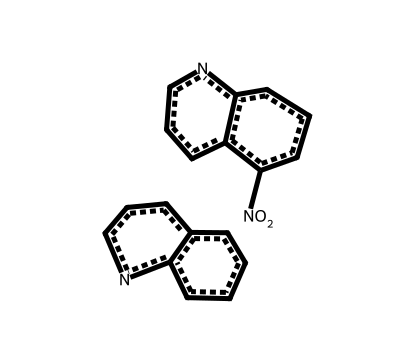 O=[N+]([O-])c1cccc2ncccc12.c1ccc2ncccc2c1